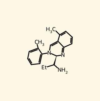 CCC(N)[C@@H]1N=c2cccc(C)c2=CN1c1ccccc1C